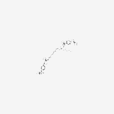 CCCCCC[C@H](C/C=C\CCCCCCCC(=O)OCc1ccc(N=C=O)cc1)OCC(=O)c1ccc(OC#N)cc1